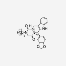 CCl.CN1CC(=O)N2[C@H](c3ccc4c(c3)OCO4)c3[nH]c4ccccc4c3C[C@@H]2C1=O